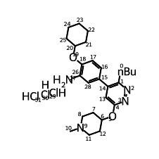 CCCCc1nnc(OC2CCN(C)CC2)cc1-c1ccc(OC2CCCCC2)c(N)c1.Cl.Cl.Cl